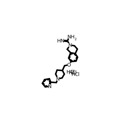 Cl.Cl.Cl.N=C(N)N1CCc2ccc(OCC3CCN(Cc4ccccn4)CC3)cc2C1